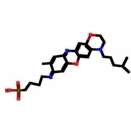 Cc1cc2nc3cc4c(cc3oc-2c/c1=N/CCCCS(=O)(=O)O)N(CCCC(C)C)CCO4